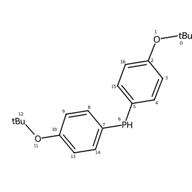 CC(C)(C)Oc1ccc(Pc2ccc(OC(C)(C)C)cc2)cc1